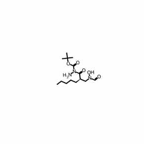 CCCCC[C@H](CN(O)C=O)C(=O)N(N)C(=O)OC(C)(C)C